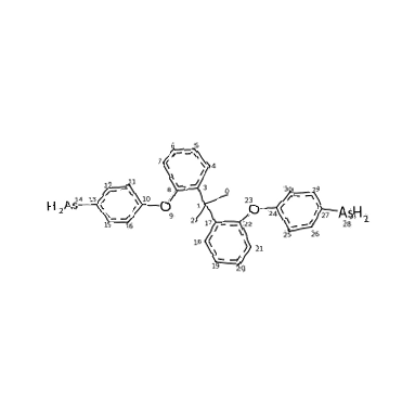 CC(C)(c1ccccc1Oc1ccc([AsH2])cc1)c1ccccc1Oc1ccc([AsH2])cc1